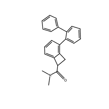 CN(C)C(=O)C1Cc2c(-c3ccccc3-c3ccccc3)cccc21